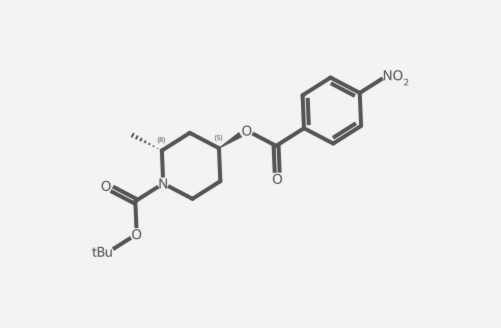 C[C@@H]1C[C@@H](OC(=O)c2ccc([N+](=O)[O-])cc2)CCN1C(=O)OC(C)(C)C